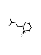 CC(C)SCN1CCCCC1=O